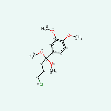 COc1ccc(C(CCCCl)(OC)OC)cc1OC